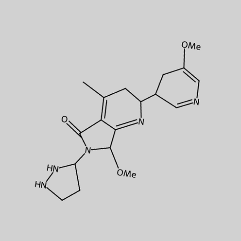 COC1=CN=CC(C2CC(C)=C3C(=O)N(C4CCNN4)C(OC)C3=N2)C1